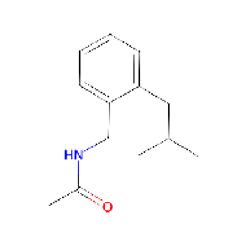 CC(=O)NCc1ccccc1CC(C)C